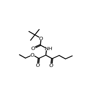 CCCC(=O)C(NC(=O)OC(C)(C)C)C(=O)OCC